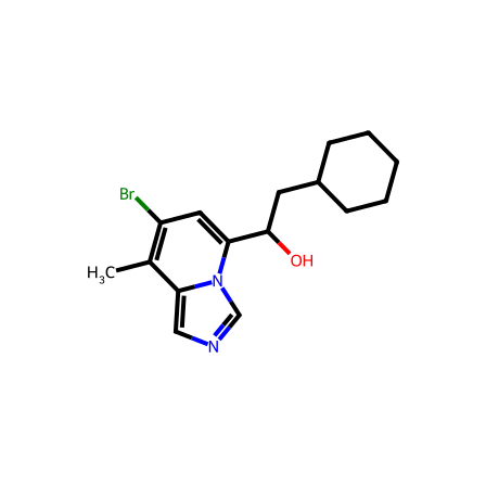 Cc1c(Br)cc(C(O)CC2CCCCC2)n2cncc12